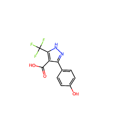 O=C(O)c1c(-c2ccc(O)cc2)n[nH]c1C(F)(F)F